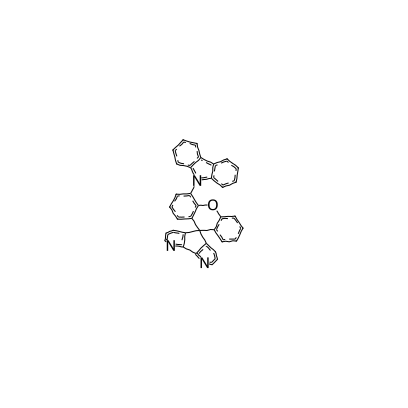 c1ccc2c(c1)Oc1c(-n3c4ccccc4c4ccccc43)cccc1C21c2cccnc2-c2ncccc21